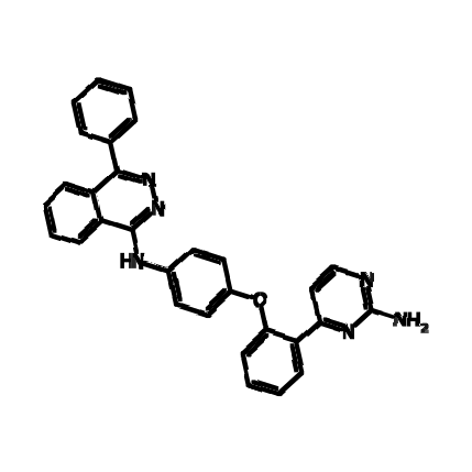 Nc1nccc(-c2ccccc2Oc2ccc(Nc3nnc(-c4ccccc4)c4ccccc34)cc2)n1